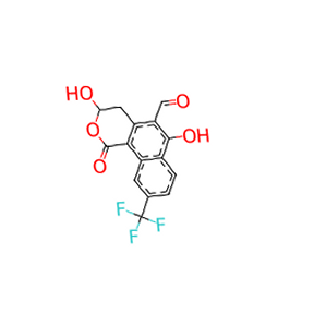 O=Cc1c2c(c3cc(C(F)(F)F)ccc3c1O)C(=O)OC(O)C2